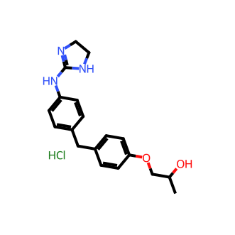 CC(O)COc1ccc(Cc2ccc(NC3=NCCN3)cc2)cc1.Cl